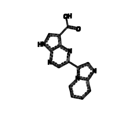 O=C(O)c1c[nH]c2ncc(-c3cnc4ccccn34)nc12